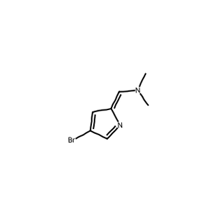 CN(C)C=C1C=C(Br)C=N1